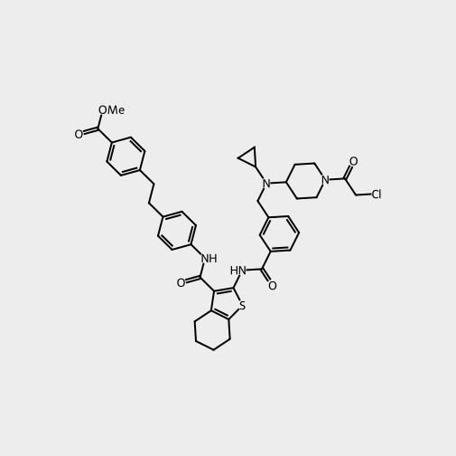 COC(=O)c1ccc(CCc2ccc(NC(=O)c3c(NC(=O)c4cccc(CN(C5CC5)C5CCN(C(=O)CCl)CC5)c4)sc4c3CCCC4)cc2)cc1